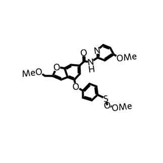 COCc1cc2c(Oc3ccc(SOOC)cc3)cc(C(=O)Nc3cc(OC)ccn3)cc2o1